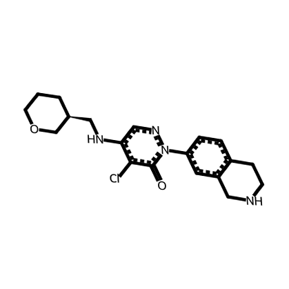 O=c1c(Cl)c(NC[C@@H]2CCCOC2)cnn1-c1ccc2c(c1)CNCC2